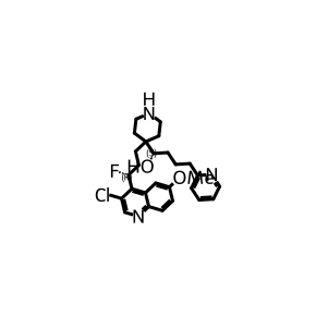 COc1ccc2ncc(Cl)c([C@H](F)CCC3([C@@H](O)CCCc4ccccn4)CCNCC3)c2c1